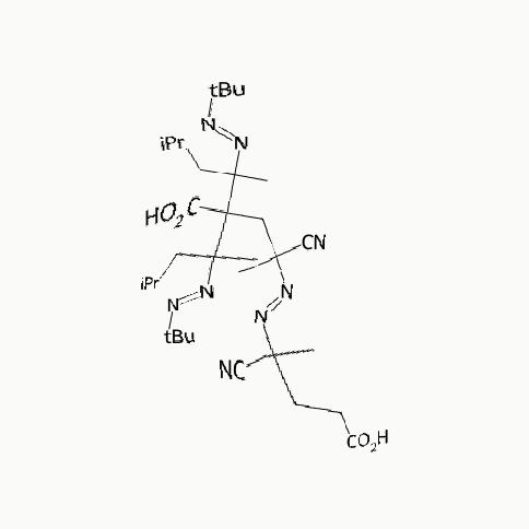 CC(C)CC(C)(/N=N/C(C)(C)C)C(CC(C)(C#N)/N=N/C(C)(C#N)CCC(=O)O)(C(=O)O)C(C)(CC(C)C)/N=N/C(C)(C)C